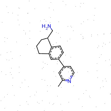 Cc1cc(-c2ccc3c(c2)CCCC3CN)ccn1